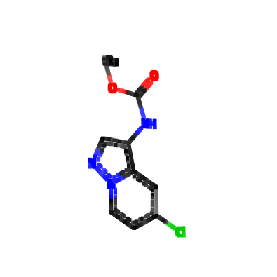 CC(C)(C)OC(=O)Nc1cnn2ccc(Cl)cc12